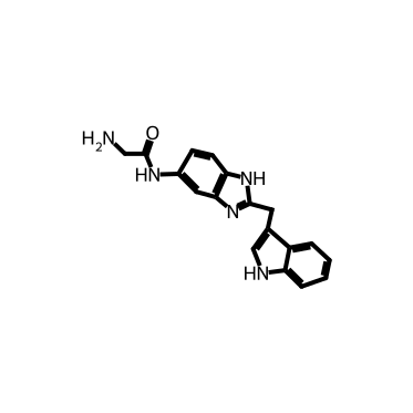 NCC(=O)Nc1ccc2[nH]c(Cc3c[nH]c4ccccc34)nc2c1